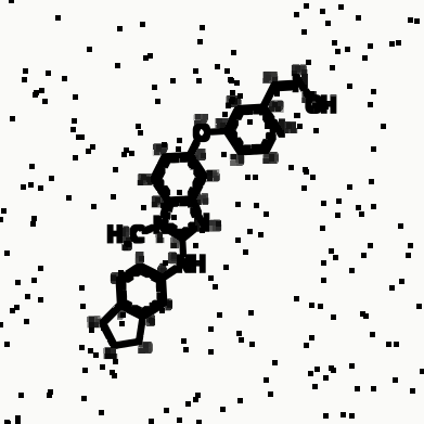 Cn1c(Nc2ccc3c(c2)CCC3)nc2cc(Oc3ccnc(/C=N\O)c3)ccc21